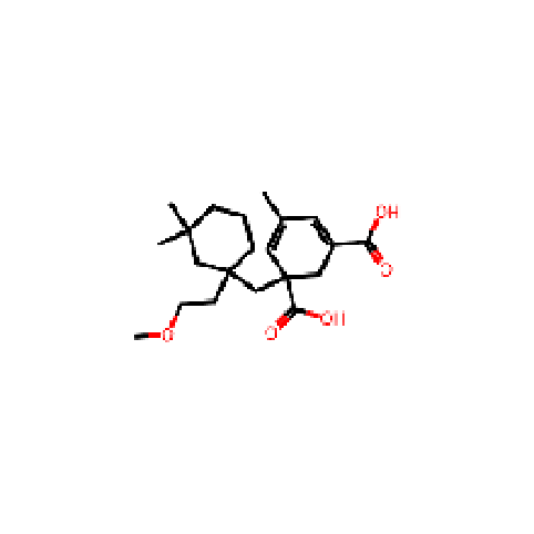 COCCC1(CC2(C(=O)O)C=C(C)C=C(C(=O)O)C2)CCCC(C)(C)C1